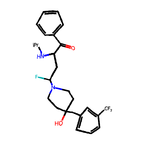 CC(C)NC(CC(F)N1CCC(O)(c2cccc(C(F)(F)F)c2)CC1)C(=O)c1ccccc1